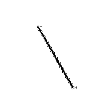 OCCOCCOCCOCCOCCOCCOCCOCCOCCOCCOCCOCCOCCOCCOCCOCCOCCOCCOCCOCCOCCOCCOCCO